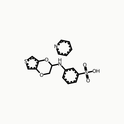 O=S(=O)(O)c1cccc(NC2COc3cscc3O2)c1.c1ccncc1